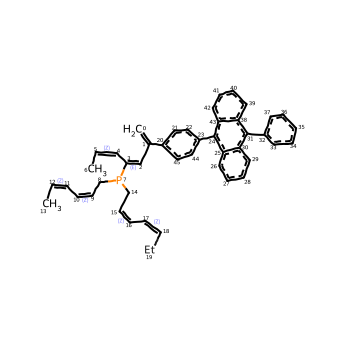 C=C(/C=C(\C=C/C)P(C/C=C\C=C/C)C/C=C\C=C/CC)c1ccc(-c2c3ccccc3c(-c3ccccc3)c3ccccc23)cc1